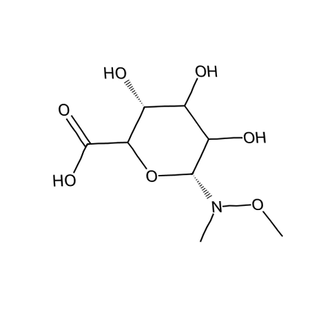 CON(C)[C@@H]1OC(C(=O)O)[C@H](O)C(O)C1O